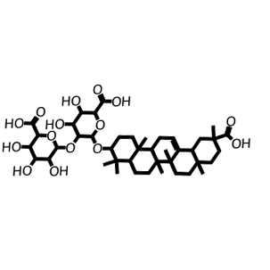 CC1(C(=O)O)CCC2(C)CCC3(C)C(=CCC4C5(C)CCC(OC6OC(C(=O)O)C(O)C(O)C6OC6OC(C(=O)O)C(O)C(O)C6O)C(C)(C)C5CCC43C)C2C1